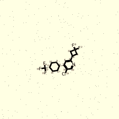 FC1(F)CC(c2cc([C@H]3CC[C@@H](C(F)(F)F)CC3)c(Cl)cn2)C1